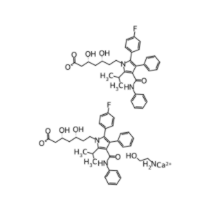 CC(C)c1c(C(=O)Nc2ccccc2)c(-c2ccccc2)c(-c2ccc(F)cc2)n1CC[C@@H](O)C[C@@H](O)CC(=O)[O-].CC(C)c1c(C(=O)Nc2ccccc2)c(-c2ccccc2)c(-c2ccc(F)cc2)n1CC[C@@H](O)C[C@@H](O)CC(=O)[O-].NCCO.[Ca+2]